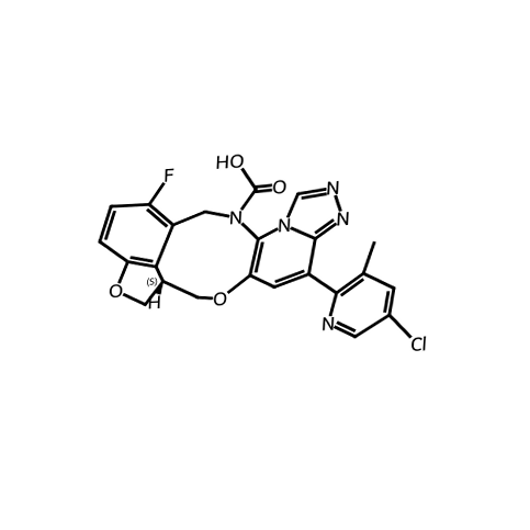 Cc1cc(Cl)cnc1-c1cc2c(n3cnnc13)N(C(=O)O)Cc1c(F)ccc3c1[C@@H](CO3)CO2